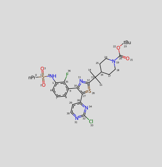 CCCS(=O)(=O)Nc1cccc(-c2nc(C(C)(C)C3CCN(C(=O)OC(C)(C)C)CC3)sc2-c2ccnc(Cl)n2)c1F